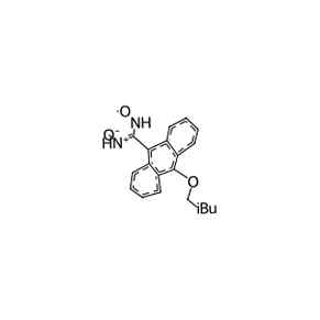 CCC(C)COc1c2ccccc2c(C(N[O])=[NH+][O-])c2ccccc12